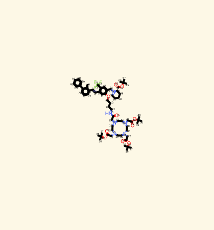 Cc1c(/C=C/c2cc(OCCCCNC(=O)CN3CCN(CC(=O)OC(C)(C)C)CCN(CC(=O)OC(C)(C)C)CCN(CC(=O)OC(C)(C)C)CC3)c(CN3CCCC[C@H]3C(=O)OC(C)(C)C)cc2C(F)(F)F)cccc1-c1ccccc1